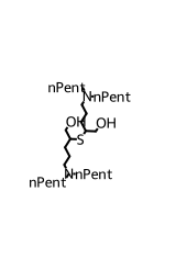 CCCCCN(CCCCC)CCCC(CO)SC(CO)CCCN(CCCCC)CCCCC